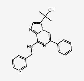 CC(C)(O)c1cnc2c(NCc3cccnc3)nc(-c3ccccc3)cn12